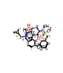 COc1ccc2c3c1OC1C(N(C)S(=O)(=O)Cc4ccccc4)CC[C@@]4(O)[C@@H](C2)N(CC2CC2)CC[C@]314